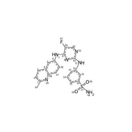 Cc1ccc2cc(Nc3nc(Nc4cccc(S(N)(=O)=O)c4)ncc3F)ccc2n1